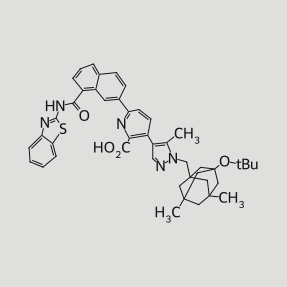 Cc1c(-c2ccc(-c3ccc4cccc(C(=O)Nc5nc6ccccc6s5)c4c3)nc2C(=O)O)cnn1CC12CC3(C)CC(C)(C1)CC(OC(C)(C)C)(C3)C2